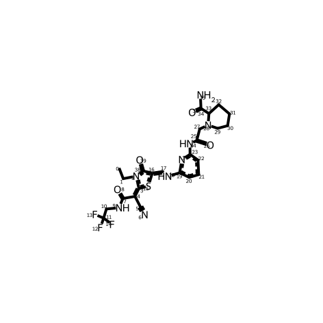 CCn1c(=C(C#N)C(=O)NCC(F)(F)F)sc(=CNc2cccc(NC(=O)CN3CCCCC3C(N)=O)n2)c1=O